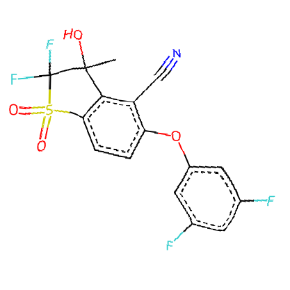 CC1(O)c2c(ccc(Oc3cc(F)cc(F)c3)c2C#N)S(=O)(=O)C1(F)F